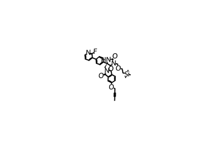 CC#CCOc1ccc2c(c1)C(=O)N(C[C@@]1(c3ccc(-c4cccnc4F)cc3)NC(=O)N(COCC[Si](C)(C)C)C1=O)C2